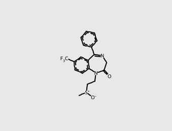 C[S+]([O-])CCN1C(=O)CN=C(c2ccccc2)c2cc(C(F)(F)F)ccc21